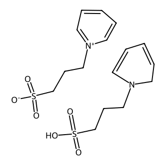 O=S(=O)(O)CCCN1C=CC=CC1.O=S(=O)([O-])CCC[n+]1ccccc1